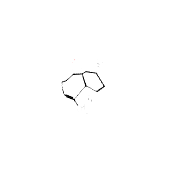 CC1=CC[C@H](O)[C@H]2[C@H](C)CC[C@@H]12